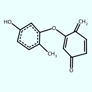 C=C1C=CC(=O)C=C1Oc1cc(O)ccc1C